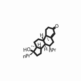 CCC[C@@H]1CC2=CC(=O)CC[C@]2(C)[C@H]2CC[C@@]3(C)[C@@H](CC[C@@]3(O)CCC)[C@H]12